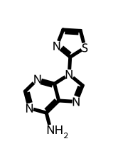 Nc1ncnc2c1ncn2-c1nccs1